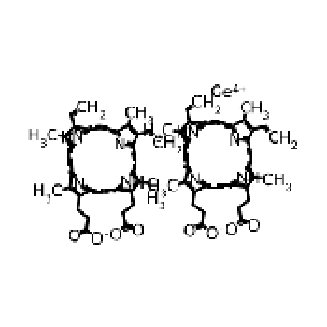 C=CC1=C(C)c2cc3[nH]c(cc4nc(cc5[nH]c(cc1n2)c(C)c5CCC(=O)[O-])C(CCC(=O)[O-])=C4C)c(C)c3C=C.C=CC1=C(C)c2cc3[nH]c(cc4nc(cc5[nH]c(cc1n2)c(C)c5CCC(=O)[O-])C(CCC(=O)[O-])=C4C)c(C)c3C=C.[Ge+4]